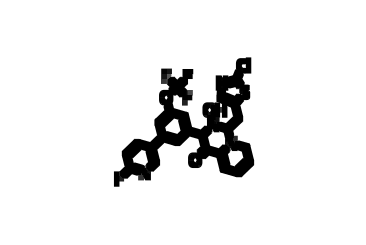 O=C1C2=CC=CCN2C(Cc2cnc(Cl)s2)N(O)C1c1cc(OC(F)(F)F)cc(-c2ccc(F)nc2)c1